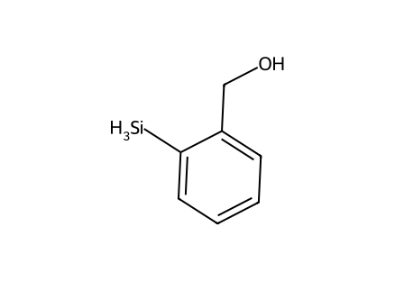 OCc1ccccc1[SiH3]